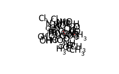 CC(=O)O[C@@]12CO[C@@H]1C[C@H](O)[C@@]1(C)C(=O)[C@H](O)C3=C(C)[C@@H](OC(=O)[C@H](O)[C@@H](NC(=O)OC(C)(C)C)c4ccccc4)C[C@@](O)([C@@H](OC(=O)c4ccccc4)[C@H]21)C3(C)C.Nc1ccn([C@@H]2O[C@H](CO)[C@@H](O)C2(F)F)c(=O)n1.O=C(O)CCCc1ccc(N(CCCl)CCCl)cc1